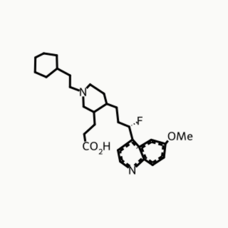 COc1ccc2nccc([C@@H](F)CCC3CCN(CCC4CCCCC4)CC3CCC(=O)O)c2c1